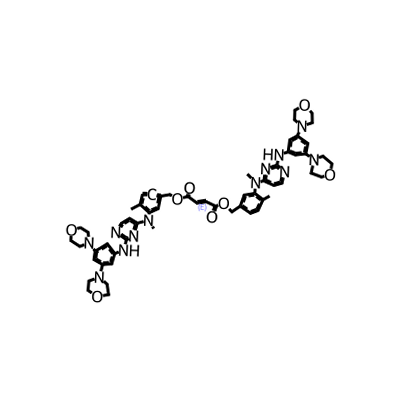 Cc1ccc(COC(=O)/C=C/C(=O)OCc2ccc(C)c(N(C)c3ccnc(Nc4cc(N5CCOCC5)cc(N5CCOCC5)c4)n3)c2)cc1N(C)c1ccnc(Nc2cc(N3CCOCC3)cc(N3CCOCC3)c2)n1